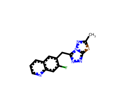 Cc1nn2c(Cc3cc4cccnc4cc3F)nnc2s1